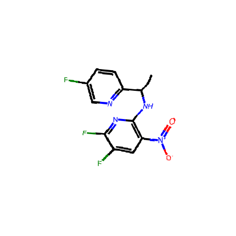 CC(Nc1nc(F)c(F)cc1[N+](=O)[O-])c1ccc(F)cn1